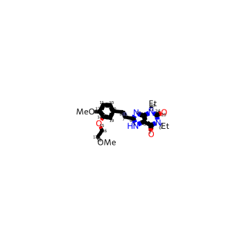 CCn1c(=O)c2[nH]c(/C=C/c3ccc(OC)c(OCCOC)c3)nc2n(CC)c1=O